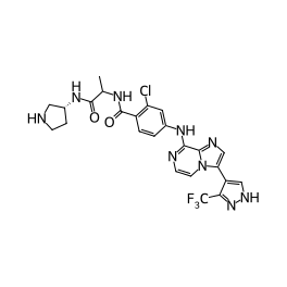 CC(NC(=O)c1ccc(Nc2nccn3c(-c4c[nH]nc4C(F)(F)F)cnc23)cc1Cl)C(=O)N[C@@H]1CCNC1